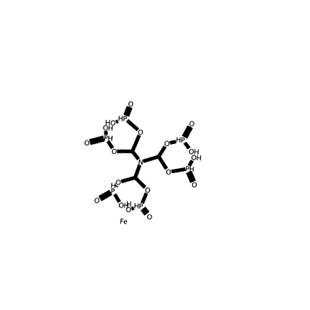 O=[PH](O)OC(O[PH](=O)O)N(C(O[PH](=O)O)O[PH](=O)O)C(O[PH](=O)O)O[PH](=O)O.[Fe]